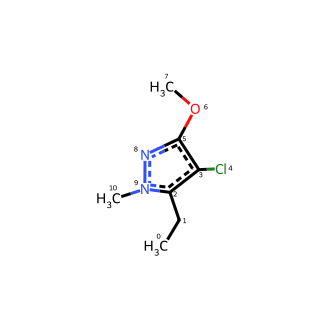 CCc1c(Cl)c(OC)nn1C